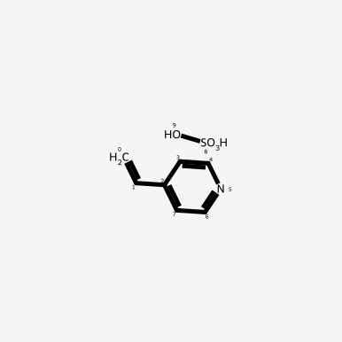 C=Cc1ccncc1.O=S(=O)(O)O